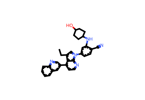 CCc1cn(-c2ccc(C#N)c(NC3CCC(O)CC3)c2)c2nccc(-c3cnc4ccccc4c3)c12